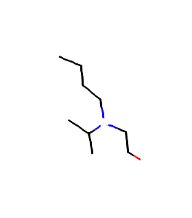 CCCCCCCCCCCN(CCO)C(C)CCCCC